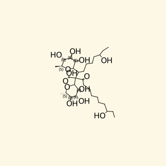 CCC(O)CCCCCCC(=O)C(C(=O)O)(C(CCCCC(O)CC)C1O[C@@H](C)[C@H](O)[C@@H](O)[C@H]1O)C1O[C@@H](C)[C@H](O)[C@@H](O)[C@H]1O